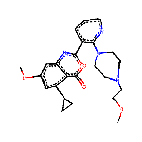 COCCN1CCN(c2ncccc2-c2nc3cc(OC)cc(C4CC4)c3c(=O)o2)CC1